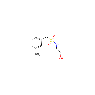 O=[N+]([O-])c1cccc(CS(=O)(=O)NCCO)c1